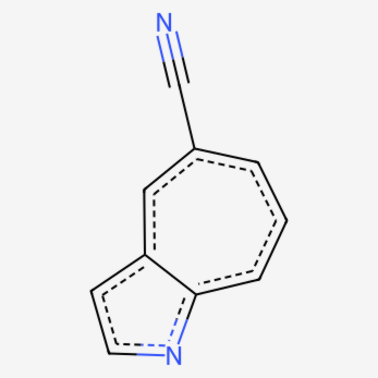 N#Cc1cccc2nccc-2c1